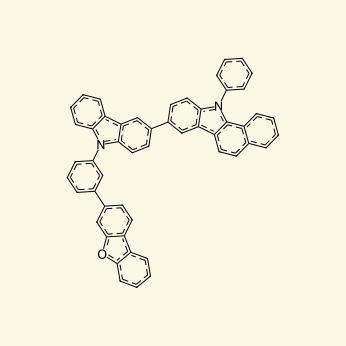 c1ccc(-n2c3ccc(-c4ccc5c(c4)c4ccccc4n5-c4cccc(-c5ccc6c(c5)oc5ccccc56)c4)cc3c3ccc4ccccc4c32)cc1